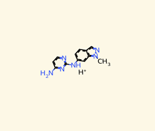 Cn1ncc2ccc(Nc3nccc(N)n3)cc21.[H+]